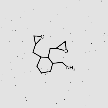 NCC1CCCC(CC2CO2)C1CC1CO1